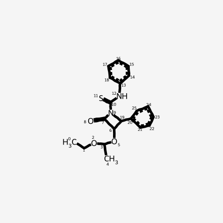 CCOC(C)OC1C(=O)N(C(=S)Nc2ccccc2)C1c1ccccc1